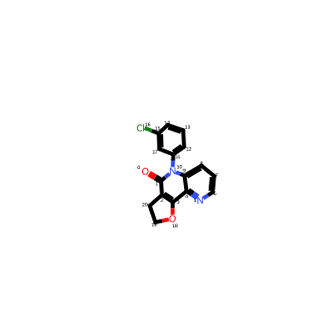 O=c1c2c(c3ncccc3n1-c1cccc(Cl)c1)OCC2